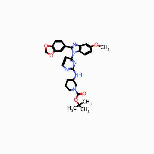 COc1ccc2c(c1)nc(-c1ccc3c(c1)OCO3)n2-c1ccnc(NC2CCCN(C(=O)OC(C)(C)C)C2)n1